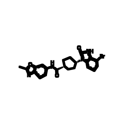 Cc1nc2ccc(NC(=O)[C@H]3CC[C@@H](n4c(=O)[nH]c5c(Br)cccc54)CC3)cc2o1